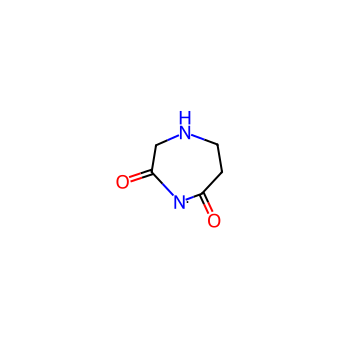 O=C1CCNCC(=O)[N]1